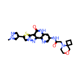 Cn1cc(-c2cn3nc4c5ncc(NC(=O)CN6CCOCC67CCC7)cc5[nH]c(=O)c4c3s2)cn1